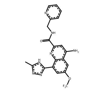 Cc1nnc(-c2cc(OC(F)(F)F)cc3c(N)cc(C(=O)NCc4ccccn4)nc23)[nH]1